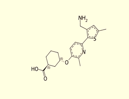 Cc1cc(CN)c(-c2ccc(O[C@H]3CCC[C@H](C(=O)O)C3)c(C)n2)s1